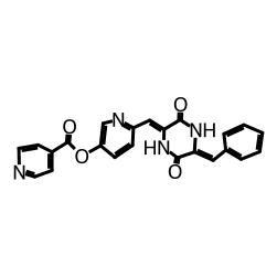 O=C(Oc1ccc(C=c2[nH]c(=O)c(=Cc3ccccc3)[nH]c2=O)nc1)c1ccncc1